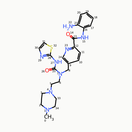 CN1CCN(CCN(Cc2ccc(C(=O)Nc3ccccc3N)nc2)C(=O)Nc2nccs2)CC1